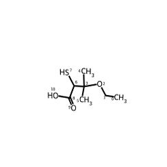 CCOC(C)(C)C(S)C(=O)O